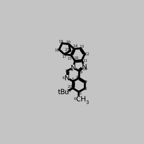 CC1CC=c2c(ncn3c2nc2ccc4c(c23)C2CCC4C2)=C1C(C)(C)C